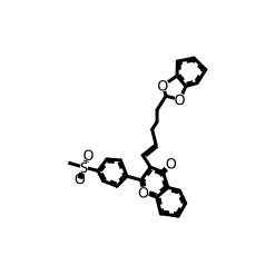 CS(=O)(=O)c1ccc(-c2oc3ccccc3c(=O)c2C=CCCCC2Oc3ccccc3O2)cc1